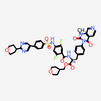 Cn1c(=O)n(-c2ccc(C[C@H](NC(=O)c3cc(F)c(NS(=O)(=O)c4ccc(-c5cnc(C6CCOCC6)nc5)cc4)cc3F)C(=O)OCC3CCOCC3)cc2)c(=O)c2ccncc21